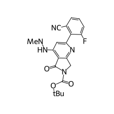 CNNc1cc(-c2c(F)cccc2C#N)nc2c1C(=O)N(C(=O)OC(C)(C)C)C2